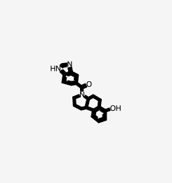 O=C(c1ccc2[nH]cnc2c1)N1CCCC2c3cccc(O)c3CCC21